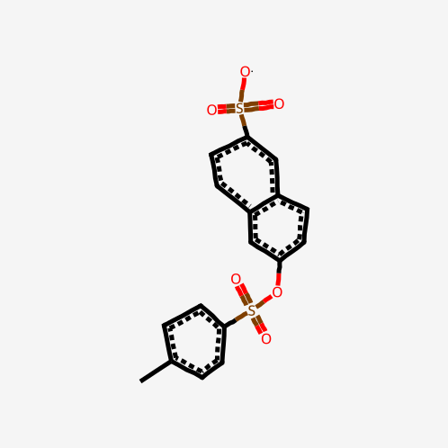 Cc1ccc(S(=O)(=O)Oc2ccc3cc(S([O])(=O)=O)ccc3c2)cc1